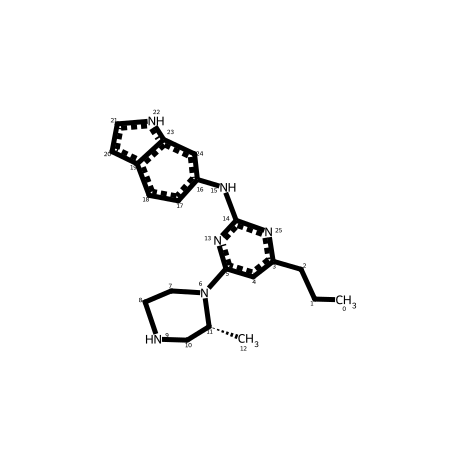 CCCc1cc(N2CCNC[C@H]2C)nc(Nc2ccc3cc[nH]c3c2)n1